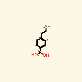 OB(O)c1ccc(CCS)cc1